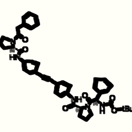 CC(C)(C)OC(=O)N[C@@H](C(=O)N1CCC[C@H]1C(=O)Nc1ccc(C#Cc2ccc(NC(=O)[C@@H]3CCCN3C(=O)Cc3ccccc3)cc2)cc1)c1ccccc1